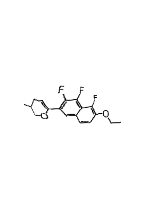 CCOc1ccc2cc(C3=CCC(C)CO3)c(F)c(F)c2c1F